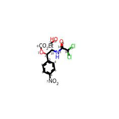 CCOC(=O)O[C@H](c1ccc([N+](=O)[O-])cc1)[C@H](CO)NC(=O)C(Cl)Cl